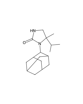 CC(C)C1(C)CNC(=O)N1C1C2CC3CC(C2)CC1C3